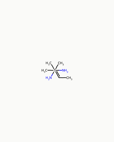 C[CH]=[Ti]([CH3])([CH3])([CH3])([NH2])[NH2]